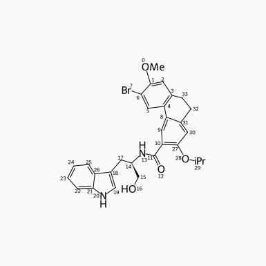 COc1cc2c(cc1Br)-c1cc(C(=O)N[C@@H](CO)Cc3c[nH]c4ccccc34)c(OC(C)C)cc1CC2